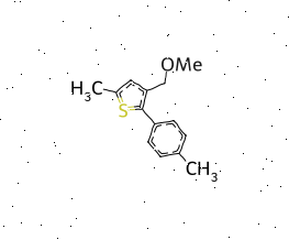 COCc1cc(C)sc1-c1ccc(C)cc1